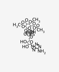 CC(=O)OCC1O[C@@H](OP(=O)(O)OP(O)(=S)OC[C@H]2O[C@@H](n3cnc4c(N)ncnc43)C(O)C2O)C(OC(C)=O)C(C=O)[C@@H]1OC(C)=O